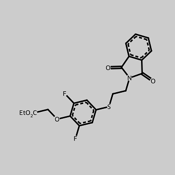 CCOC(=O)COc1c(F)cc(SCCN2C(=O)c3ccccc3C2=O)cc1F